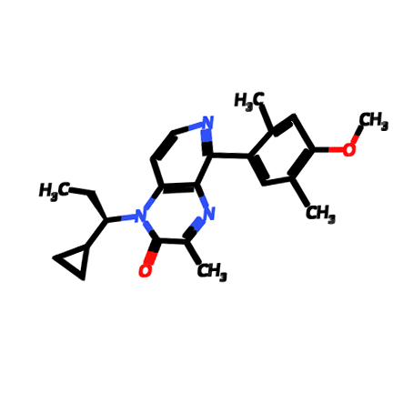 CC[C@H](C1CC1)n1c(=O)c(C)nc2c(-c3cc(C)c(OC)cc3C)nccc21